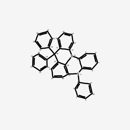 c1ccc(N2c3ccccc3B3c4ccccc4C(c4ccccc4)(c4ccccc4)c4cccc2c43)cc1